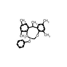 Cc1cc(C)c2c(c1)C(C)c1cc(C)cc(C)c1OP(Oc1ccccc1)CO2